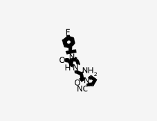 CC(C)(c1ccc(F)cc1)N1C(=O)[C@@H]2CC1CN2C[C@H](N)C(=O)N1CCC[C@H]1C#N